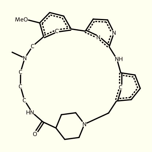 COc1ccc2cc1CN(C)CCCNC(=O)C1CCN(CC1)Cc1cccc(c1)Nc1nccc-2n1